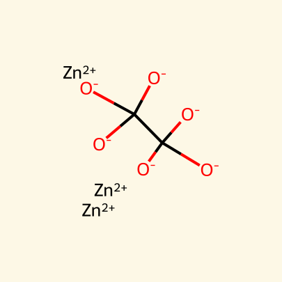 [O-]C([O-])([O-])C([O-])([O-])[O-].[Zn+2].[Zn+2].[Zn+2]